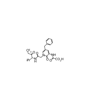 CC(C)C(NC(=O)Cn1cc(Cc2ccccc2)cc(NC(=O)C(=O)O)c1=O)C(=O)CC(F)(F)F